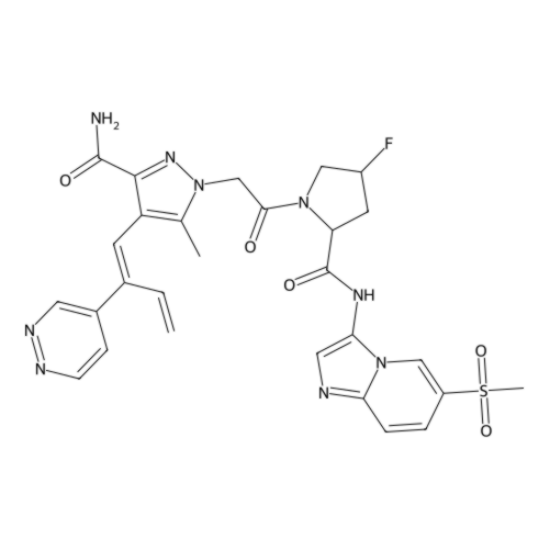 C=C/C(=C\c1c(C(N)=O)nn(CC(=O)N2CC(F)CC2C(=O)Nc2cnc3ccc(S(C)(=O)=O)cn23)c1C)c1ccnnc1